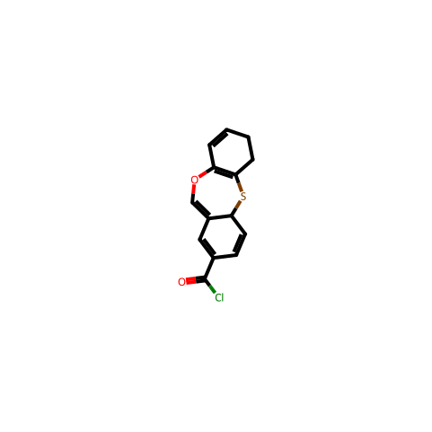 O=C(Cl)C1=CC2=COC3=C(CCC=C3)SC2C=C1